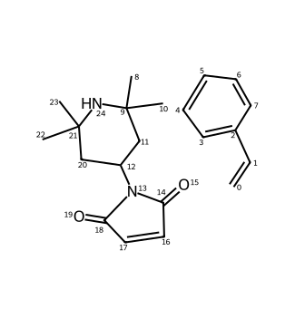 C=Cc1ccccc1.CC1(C)CC(N2C(=O)C=CC2=O)CC(C)(C)N1